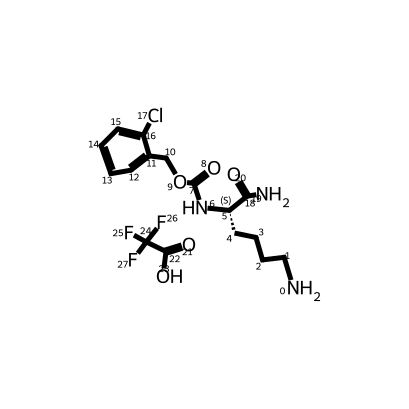 NCCCC[C@H](NC(=O)OCc1ccccc1Cl)C(N)=O.O=C(O)C(F)(F)F